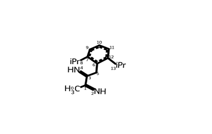 CC(=N)C(=N)Cc1c(C(C)C)cccc1C(C)C